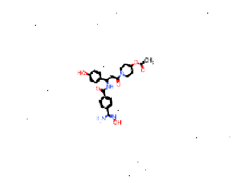 CC(=O)OC1CCN(C(=O)CC(NC(=O)c2ccc(C(N)=NO)cc2)c2ccc(O)cc2)CC1